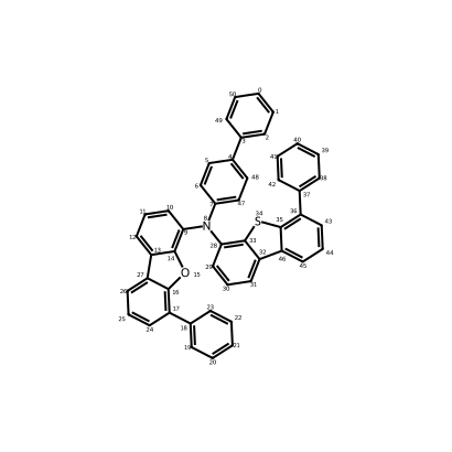 c1ccc(-c2ccc(N(c3cccc4c3oc3c(-c5ccccc5)cccc34)c3cccc4c3sc3c(-c5ccccc5)cccc34)cc2)cc1